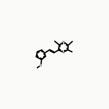 COc1cccc(C=Cc2nc(C)c(C)nc2C)c1